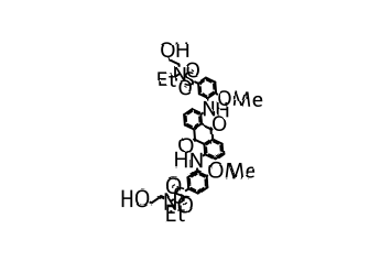 CCN(CCO)S(=O)(=O)c1ccc(OC)c(Nc2cccc3c2C(=O)c2cccc(Nc4cc(S(=O)(=O)N(CC)CCO)ccc4OC)c2C3=O)c1